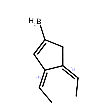 BC1=CC(=C/C)/C(=C\C)C1